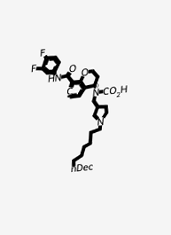 CCCCCCCCCCCCCCCCN1CCC(CN(C(=O)O)[C@H]2CCOc3c(C(=O)Nc4ccc(F)c(F)c4)cccc32)C1